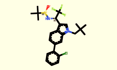 CC(C)(C)Cn1cc([C@H](N[S@@+]([O-])C(C)(C)C)C(F)(F)F)c2ccc(-c3ccccc3Cl)cc21